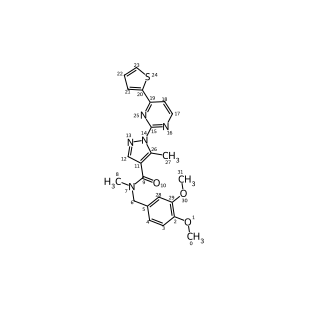 COc1ccc(CN(C)C(=O)c2cnn(-c3nccc(-c4cccs4)n3)c2C)cc1OC